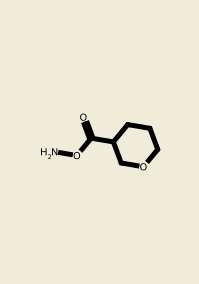 NOC(=O)C1CCCOC1